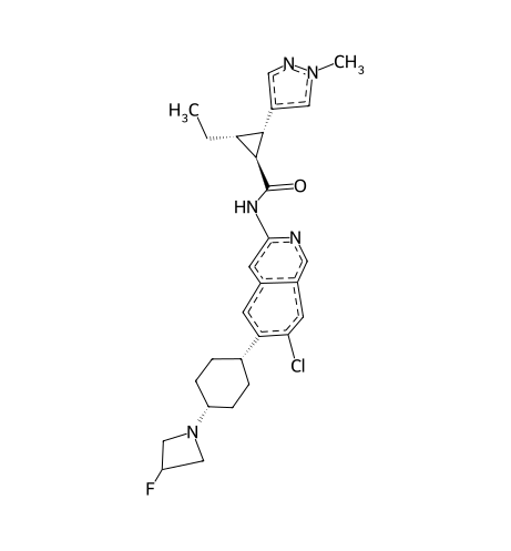 CC[C@H]1[C@H](C(=O)Nc2cc3cc([C@H]4CC[C@@H](N5CC(F)C5)CC4)c(Cl)cc3cn2)[C@H]1c1cnn(C)c1